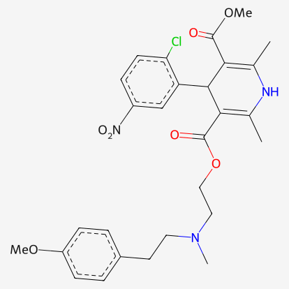 COC(=O)C1=C(C)NC(C)=C(C(=O)OCCN(C)CCc2ccc(OC)cc2)C1c1cc([N+](=O)[O-])ccc1Cl